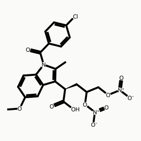 COc1ccc2c(c1)c([C@@H](CC(CO[N+](=O)[O-])O[N+](=O)[O-])C(=O)O)c(C)n2C(=O)c1ccc(Cl)cc1